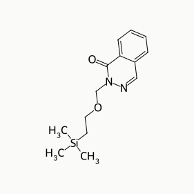 C[Si](C)(C)CCOCn1ncc2ccccc2c1=O